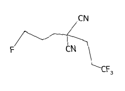 N#CC(C#N)(CCCF)CCC(F)(F)F